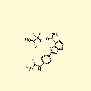 NC(=O)Nc1ccc(-n2cc3cccc(C(N)=O)c3n2)cc1.O=C(O)C(F)(F)F